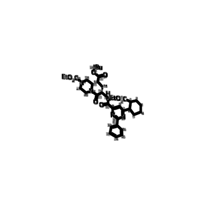 CCOC(=O)C1CCCCC1c1cc(C(=O)N[C@@H](CCC(=O)OC(C)(C)C)C(=O)N2CCN(C(=O)OCC)CC2)nc(-c2ccccc2)n1